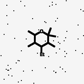 CCC1C(C)C(C)OC(C)(C)C1C